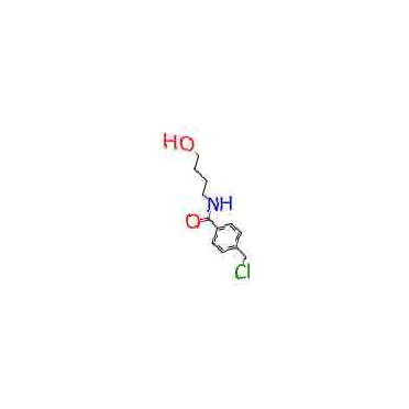 O=C(NCCCCO)c1ccc(CCl)cc1